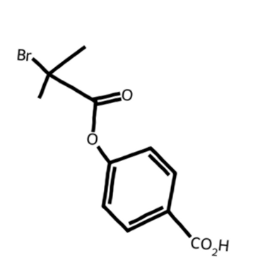 CC(C)(Br)C(=O)Oc1ccc(C(=O)O)cc1